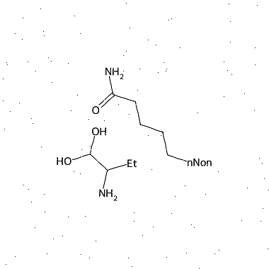 CCC(N)C(O)O.CCCCCCCCCCCCCC(N)=O